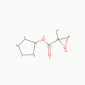 CC1(C(=O)OC2CCCC2)CO1